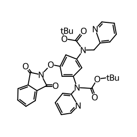 CC(C)(C)OC(=O)N(Cc1ccccn1)c1cc(ON2C(=O)c3ccccc3C2=O)cc(N(C(=O)OC(C)(C)C)c2ccccn2)c1